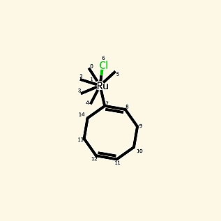 [CH3][Ru]([CH3])([CH3])([CH3])([CH3])([Cl])[C]1=CCCC=CCC1